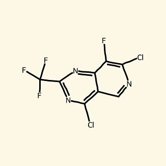 Fc1c(Cl)ncc2c(Cl)nc(C(F)(F)F)nc12